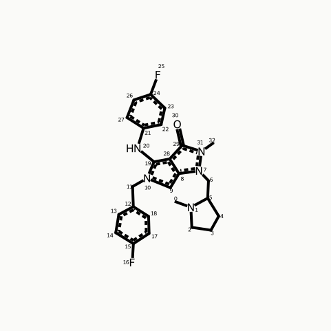 CN1CCCC1Cn1c2cn(Cc3ccc(F)cc3)c(Nc3ccc(F)cc3)c2c(=O)n1C